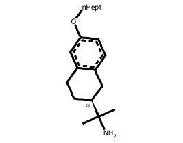 CCCCCCCOc1ccc2c(c1)CC[C@H](C(C)(C)N)C2